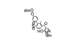 COCOc1ccc(-c2c(S(C)(=O)=O)ccc(C(=O)c3cnn(C(C)(C)C)c3O)c2C)cc1